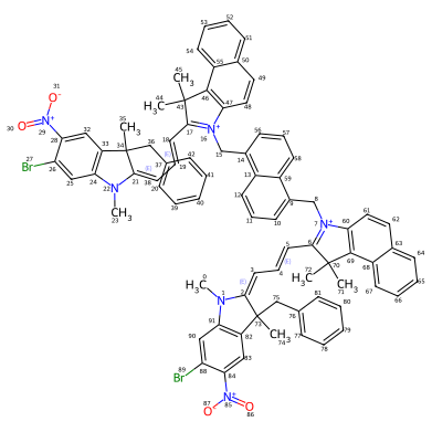 CN1/C(=C/C=C/C2=[N+](Cc3cccc4c(C[N+]5=C(/C=C/C=C6/N(C)c7cc(Br)c([N+](=O)[O-])cc7C6(C)Cc6ccccc6)C(C)(C)c6c5ccc5ccccc65)cccc34)c3ccc4ccccc4c3C2(C)C)C(C)(Cc2ccccc2)c2cc([N+](=O)[O-])c(Br)cc21